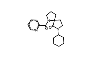 O=C(c1ccccn1)N1CCCC12CCN(C1CCCCC1)C2=O